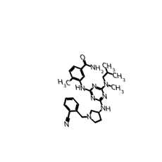 Cc1ccc(C(N)=O)cc1Nc1nc(N[C@H]2CCN(Cc3ccccc3C#N)C2)nc(N(C)CC(C)C)n1